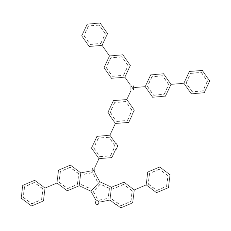 c1ccc(-c2ccc(N(c3ccc(-c4ccccc4)cc3)c3ccc(-c4ccc(-n5c6ccc(-c7ccccc7)cc6c6oc7ccc(-c8ccccc8)cc7c65)cc4)cc3)cc2)cc1